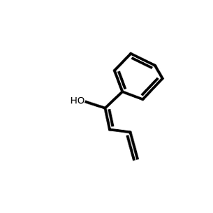 C=C/C=C(/O)c1ccccc1